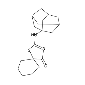 O=C1N=C(NC23CC4CC(CC(C4)C2)C3)SC12CCCCC2